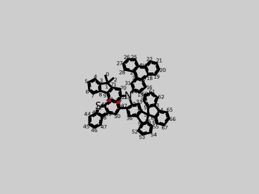 CC1(C)c2ccccc2-c2ccc(N(c3ccc4c5ccccc5c5ccccc5c4c3)c3cc4c(cc3-c3ccc5sc6ccccc6c5c3)-c3ccccc3C43c4ccccc4-c4ccccc43)cc21